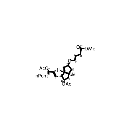 CCCCCC(C=C[C@@H]1[C@@H]2CC(OCCCC(=O)OC)C[C@H]2C[C@H]1OC(C)=O)OC(C)=O